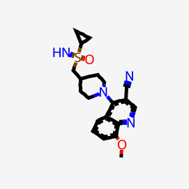 COc1cccc2c(N3CCC(CS(=N)(=O)C4CC4)CC3)c(C#N)cnc12